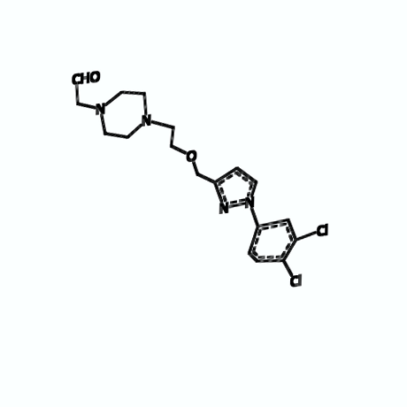 O=CCN1CCN(CCOCc2ccn(-c3ccc(Cl)c(Cl)c3)n2)CC1